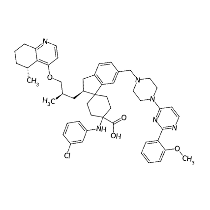 COc1ccccc1-c1nccc(N2CCN(Cc3ccc4c(c3)C3(CCC(Nc5cccc(Cl)c5)(C(=O)O)CC3)[C@@H](C[C@@H](C)COc3ccnc5c3[C@H](C)CCC5)C4)CC2)n1